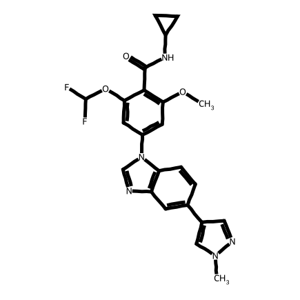 COc1cc(-n2cnc3cc(-c4cnn(C)c4)ccc32)cc(OC(F)F)c1C(=O)NC1CC1